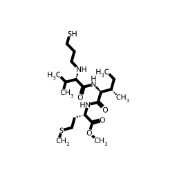 CC[C@H](C)[C@H](NC(=O)[C@@H](NCCCS)C(C)C)C(=O)N[C@@H](CCSC)C(=O)OC